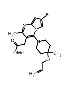 C=CCOC1(C)CCN(c2c(CC(=O)OC)c(C)nc3cc(Br)cn23)CC1